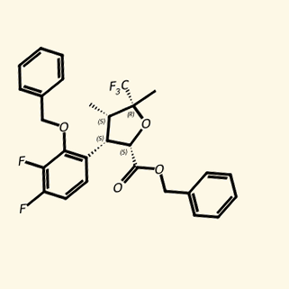 C[C@H]1[C@@H](c2ccc(F)c(F)c2OCc2ccccc2)[C@@H](C(=O)OCc2ccccc2)O[C@@]1(C)C(F)(F)F